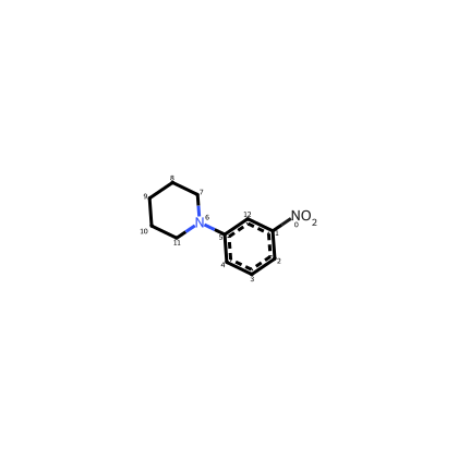 O=[N+]([O-])c1cccc(N2CCCCC2)c1